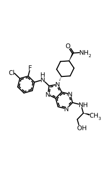 C[C@@H](CO)Nc1ncc2nc(Nc3cccc(Cl)c3F)n([C@H]3CC[C@H](C(N)=O)CC3)c2n1